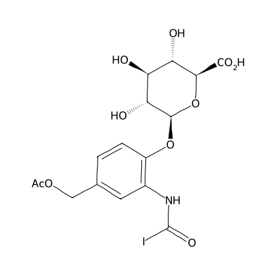 CC(=O)OCc1ccc(O[C@@H]2O[C@H](C(=O)O)[C@@H](O)[C@H](O)[C@H]2O)c(NC(=O)I)c1